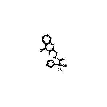 O=C(NCc1nc2ccccc2c(=O)[nH]1)[C@@](O)(c1cccs1)C(F)(F)F